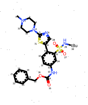 CN1CCN(c2ncc(-c3ccc(NC(=O)OCc4ccccc4)cc3S(=O)(=O)NC(C)(C)C)s2)CC1